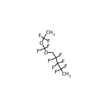 CC(F)(F)OC(F)(F)OCC(F)(F)C(F)(F)C(C)(F)F